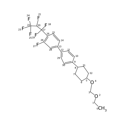 CCOCOC1CCC(c2ccc(-c3ccc(C(F)(F)C(F)C(F)(F)F)c(F)c3)cc2)CC1